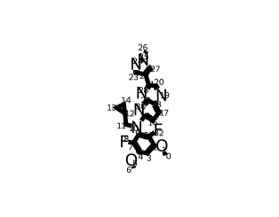 COc1cc(OC)c(F)c(N(CC2CC2)c2ccc3ncc(-c4cnn(C)c4)nc3n2)c1F